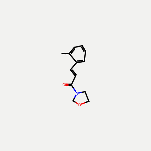 Cc1ccccc1C=CC(=O)N1CCOC1